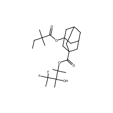 CCC(C)(C)C(=O)OC12CC3CC(C1)CC(C(=O)OC(C)(C)C(C)(O)C(F)(F)F)(C3)C2